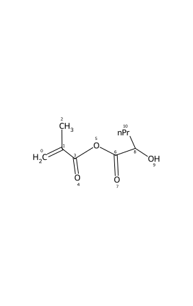 C=C(C)C(=O)OC(=O)C(O)CCC